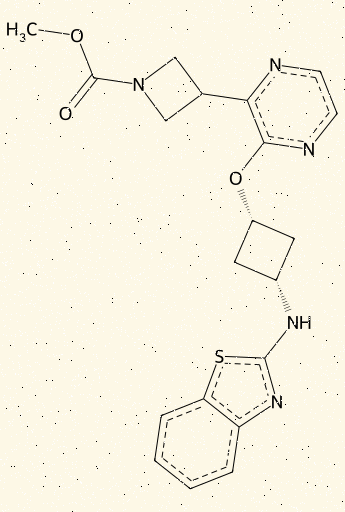 COC(=O)N1CC(c2nccnc2O[C@H]2C[C@@H](Nc3nc4ccccc4s3)C2)C1